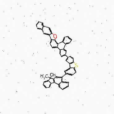 CC1(C)c2ccccc2-c2c1cc(-c1ccc3sc4ccc(-c5ccc6c(c5)c5ccccc5c5c6ccc6c7cc8ccccc8cc7oc65)cc4c3c1)c1ccccc21